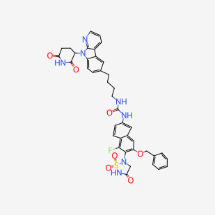 O=C1CCC(n2c3ccc(CCCCNC(=O)Nc4ccc5c(F)c(N6CC(=O)NS6(=O)=O)c(OCc6ccccc6)cc5c4)cc3c3cccnc32)C(=O)N1